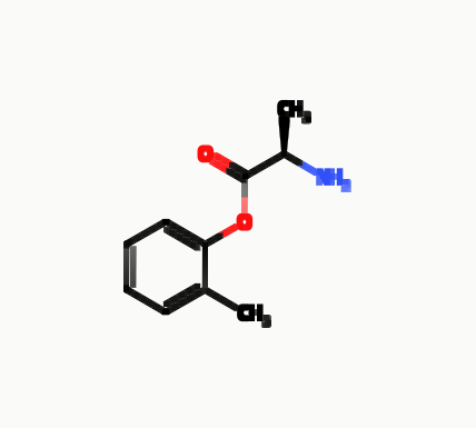 Cc1ccccc1OC(=O)[C@@H](C)N